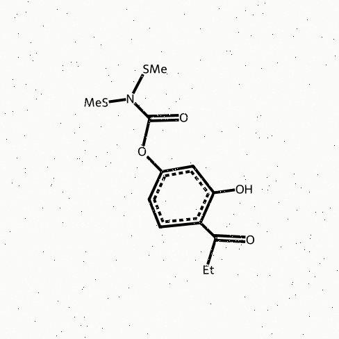 CCC(=O)c1ccc(OC(=O)N(SC)SC)cc1O